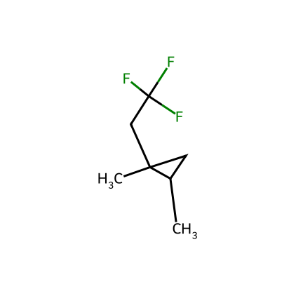 CC1CC1(C)CC(F)(F)F